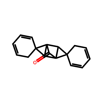 O=C1C23C(C24C=CC=CC4)C12C3C21C=CC=CC1